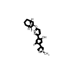 Cn1cc(-c2cc(O)c(-c3ccc(O[C@@H]4C[C@H]5CCC[C@H](N5)[C@@H]4F)nn3)cc2F)cn1